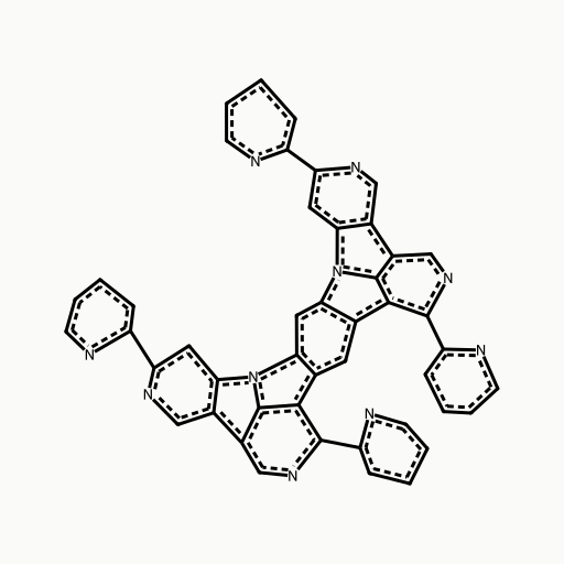 c1ccc(-c2cc3c(cn2)c2cnc(-c4ccccn4)c4c5cc6c7c(-c8ccccn8)ncc8c9cnc(-c%10ccccn%10)cc9n(c6cc5n3c24)c87)nc1